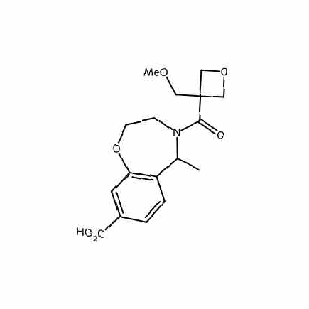 COCC1(C(=O)N2CCOc3cc(C(=O)O)ccc3C2C)COC1